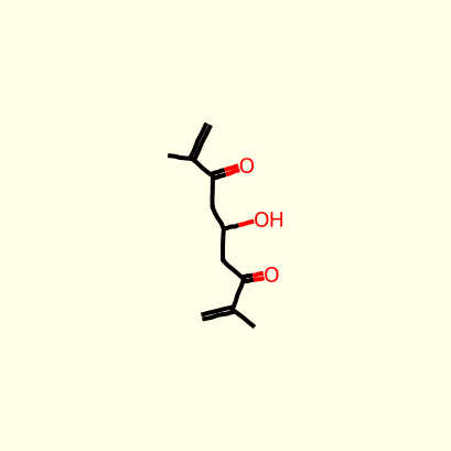 C=C(C)C(=O)CC(O)CC(=O)C(=C)C